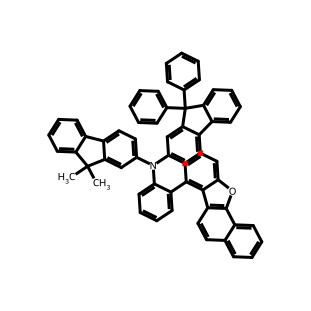 CC1(C)c2ccccc2-c2ccc(N(c3ccc4c(c3)C(c3ccccc3)(c3ccccc3)c3ccccc3-4)c3ccccc3-c3cccc4oc5c6ccccc6ccc5c34)cc21